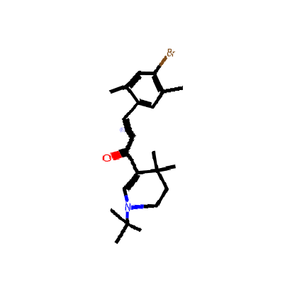 Cc1cc(/C=C/C(=O)C2=CN(C(C)(C)C)CCC2(C)C)c(C)cc1Br